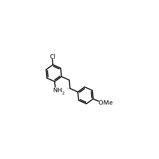 COc1ccc([CH]Cc2cc(Cl)ccc2N)cc1